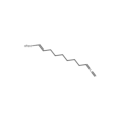 [CH]=C=CCCCCCCC=CCCCCC